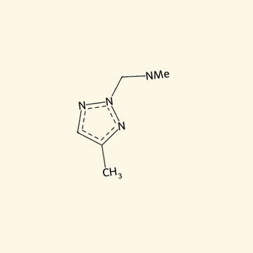 CNCn1ncc(C)n1